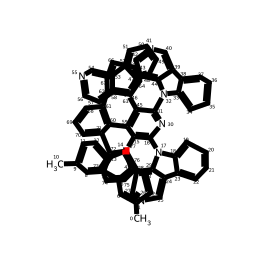 Cc1ccc2c(c1)c1cc(C)ccc1n2-c1c(-n2c3ccccc3c3cnccc32)nc(-n2c3ccccc3c3cnccc32)c(-n2c3ccccc3c3cnccc32)c1-c1c(-c2ccccc2)cccc1-c1ccccc1